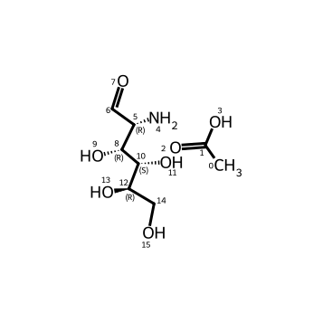 CC(=O)O.N[C@@H](C=O)[C@@H](O)[C@H](O)[C@H](O)CO